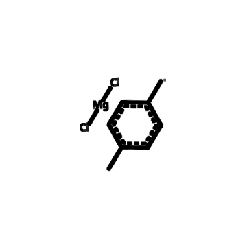 [CH2]c1ccc(C)cc1.[Cl][Mg][Cl]